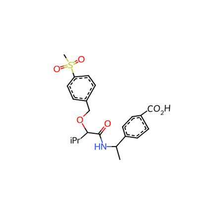 CC(NC(=O)C(OCc1ccc(S(C)(=O)=O)cc1)C(C)C)c1ccc(C(=O)O)cc1